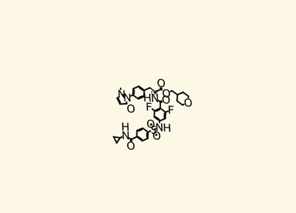 Cn1ccc(=O)n1-c1ccc(C[C@H](NC(=O)c2c(F)cc(NS(=O)(=O)c3ccc(C(=O)NC4CC4)cc3)cc2F)C(=O)OCC2CCOCC2)cc1